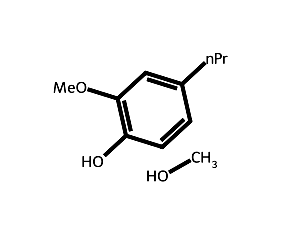 CCCc1ccc(O)c(OC)c1.CO